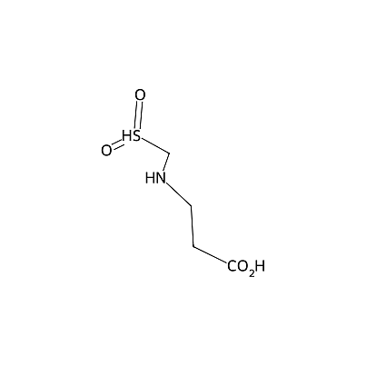 O=C(O)CCNC[SH](=O)=O